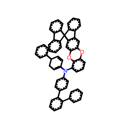 C1=CC(c2ccccc2)CC=C1N(c1ccc(-c2ccccc2-c2ccccc2)cc1)c1cccc2c1Oc1cc3c(cc1O2)-c1ccccc1C31c2ccccc2-c2ccccc21